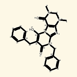 CN1CN(C)c2nc3n(Cc4ccccc4)c(=O)c(Cc4ccccc4)c(O)n3c2C1=O